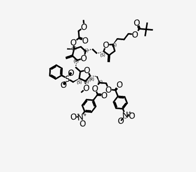 C=C1C[C@H](CCCOC(=O)C(C)(C)C)O[C@H]1CC[C@H]1C[C@@](C)(OC(=O)COC)C(=C)[C@@H](CC2O[C@H](C[C@@H](COC(=O)c3ccc([N+](=O)[O-])cc3)OC(=O)c3ccc([N+](=O)[O-])cc3)[C@H](OC)[C@H]2CS(=O)(=O)c2ccccc2)O1